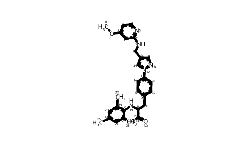 COc1ccnc(NCc2cnn(-c3ccc(CC(Nc4c(C)cc(C)cc4C)C(=O)O)cc3)c2)c1